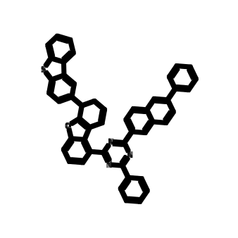 C1=Cc2c(oc3cccc(-c4nc(-c5ccccc5)nc(-c5ccc6cc(-c7ccccc7)ccc6c5)n4)c23)C(c2ccc3sc4ccccc4c3c2)C1